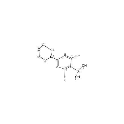 OB(O)c1c(F)cc(N2CCOCC2)cc1F